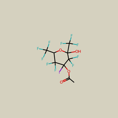 CC(=O)OC1(I)C(F)(F)C(C(F)(F)F)OC(O)(C(F)(F)F)C1(F)F